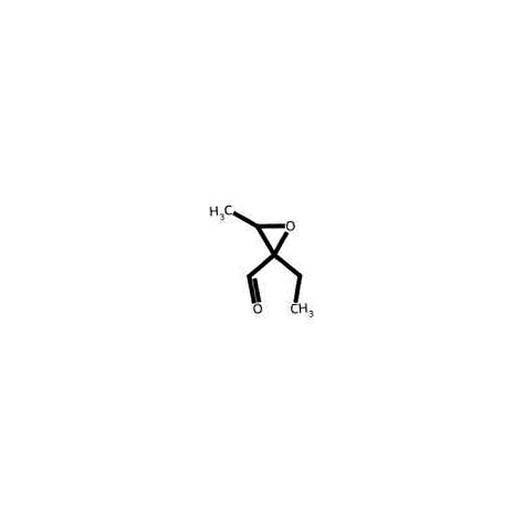 CCC1(C=O)OC1C